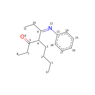 CCCCC(C(=O)CC)/C(CC)=N\c1ccccc1